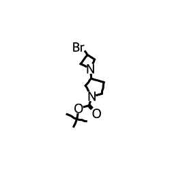 CC(C)(C)OC(=O)N1CCC(N2CC(Br)C2)C1